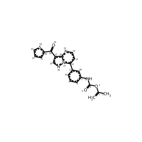 C=C(C)OC(=O)Nc1cccc(-c2ccnc3c(C(=O)c4cccs4)cnn23)c1